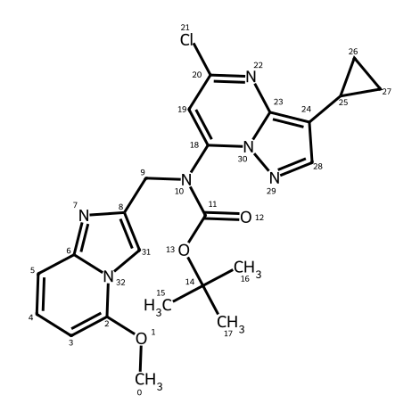 COc1cccc2nc(CN(C(=O)OC(C)(C)C)c3cc(Cl)nc4c(C5CC5)cnn34)cn12